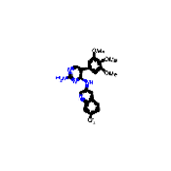 COc1cc(-c2cnc(N)nc2Nc2cnc3cc(C(F)(F)F)ccc3c2)cc(OC)c1OC